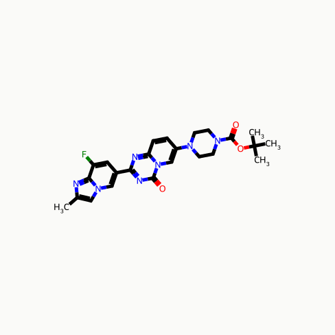 Cc1cn2cc(-c3nc(=O)n4cc(N5CCN(C(=O)OC(C)(C)C)CC5)ccc4n3)cc(F)c2n1